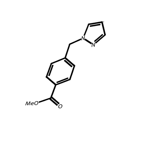 COC(=O)c1ccc(Cn2c[c]cn2)cc1